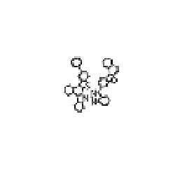 c1ccc(-c2ccc3sc4c(c3c2)c2ccccc2c2c3ccccc3n(-c3nc(-c5ccc6c(c5)oc5ccc7ccccc7c56)c5ccccc5n3)c42)cc1